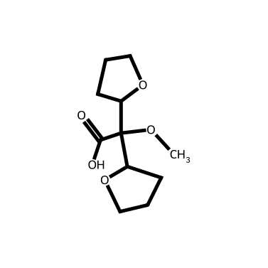 COC(C(=O)O)(C1CCCO1)C1CCCO1